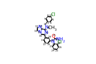 CN(Cc1ccc(Cl)cc1)c1nc(-c2cccc(N(C(N)=O)c3ccccc3Cl)c2)cn2ccnc12